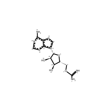 N=C(N)OC[C@H]1O[C@@H](n2cnc3c(N)ncnc32)[C@H](O)[C@@H]1O